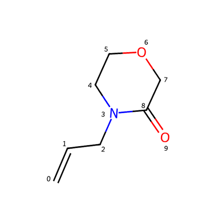 C=CCN1CCOCC1=O